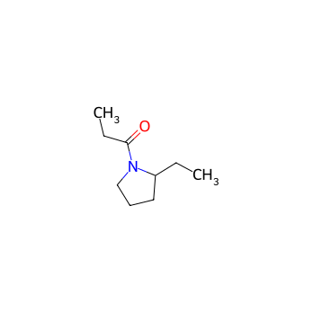 CCC(=O)N1CCCC1CC